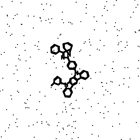 CC1C=CC=C(n2c3ccccc3c3cc4c5ccccc5n(-c5ccc(C6N=C(c7ccccc7)C78C=CC=CC7N68)cc5)c4cc32)C1